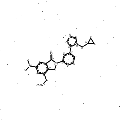 CNCc1nc(N(C)C)cc2c1CN(c1cccc(-c3nncn3CC3CC3)n1)C2=O